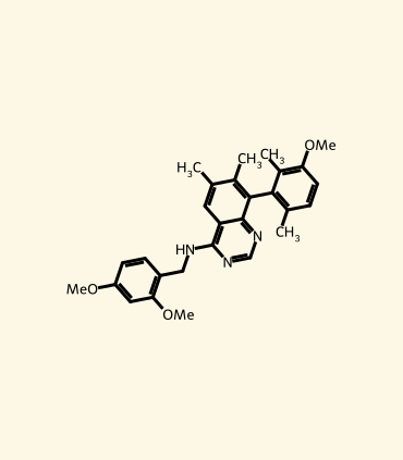 COc1ccc(CNc2ncnc3c(-c4c(C)ccc(OC)c4C)c(C)c(C)cc23)c(OC)c1